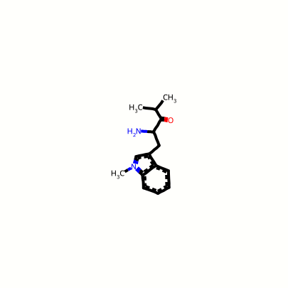 CC(C)C(=O)C(N)Cc1cn(C)c2ccccc12